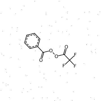 O=C(OOC(=O)C(F)(F)F)c1ccccc1